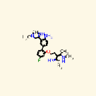 CN/C(C)=C(/CCOc1cc(F)ccc1-c1ccc(N)c(C(=N)CN(C)C)c1)C(C)=N